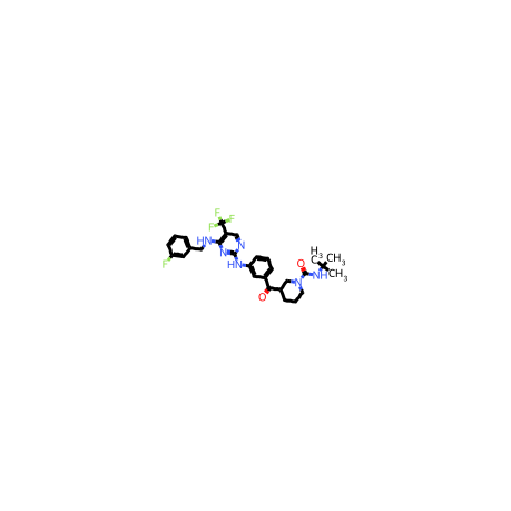 CC(C)(C)NC(=O)N1CCCC(C(=O)c2cccc(Nc3ncc(C(F)(F)F)c(NCc4cccc(F)c4)n3)c2)C1